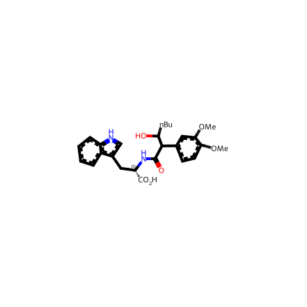 CCCCC(O)C(C(=O)N[C@@H](Cc1c[nH]c2ccccc12)C(=O)O)c1ccc(OC)c(OC)c1